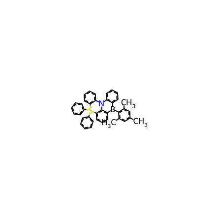 Cc1cc(C)c(B2c3ccccc3N3c4ccccc4S(c4ccccc4)(c4ccccc4)c4cccc2c43)c(C)c1